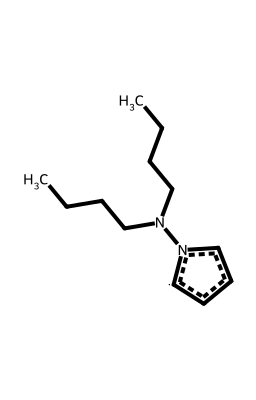 CCCCN(CCCC)n1[c]ccc1